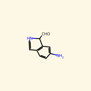 Nc1ccc2c(c1)C(C=O)NC=C2